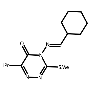 CSc1nnc(C(C)C)c(=O)n1N=CC1CCCCC1